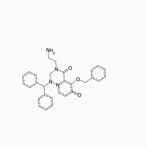 NCCN1CN(C(c2ccccc2)c2ccccc2)n2ccc(=O)c(OCc3ccccc3)c2C1=O